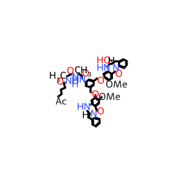 COc1cc2c(cc1OCc1cc(COc3cc4c(cc3OC)C(=O)N3c5ccccc5C[C@H]3C(O)N4)cc(NC(=O)[C@@H](C)NC(=O)[C@H](C)NC(=O)CCCCC(C)=O)c1)NC[C@@H]1Cc3ccccc3N1C2=O